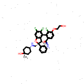 C[C@H]1c2c(cc(F)c(Cl)c2-c2c(C(N)=O)ccc(OCCO)c2F)O[C@]1(CN[C@H]1CC[C@](C)(O)CC1)c1ccccc1